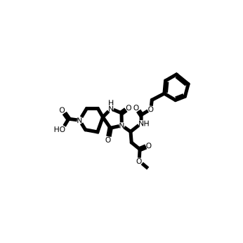 COC(=O)CC(NC(=O)OCc1ccccc1)N1C(=O)NC2(CCN(C(=O)O)CC2)C1=O